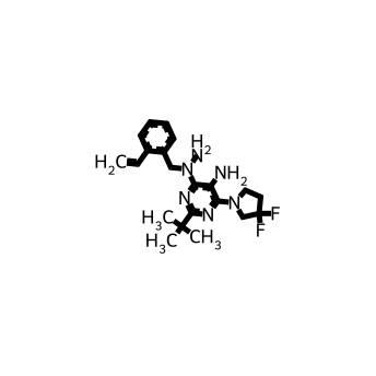 C=Cc1ccccc1CN(N)c1nc(C(C)(C)C)nc(N2CCC(F)(F)C2)c1N